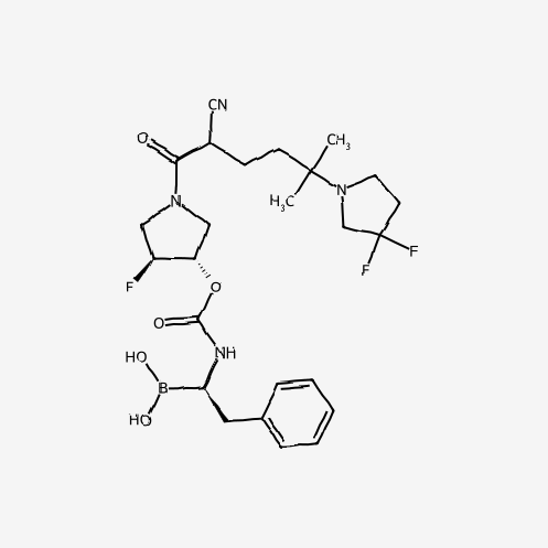 CC(C)(CCC(C#N)C(=O)N1C[C@H](OC(=O)N[C@@H](Cc2ccccc2)B(O)O)[C@@H](F)C1)N1CCC(F)(F)C1